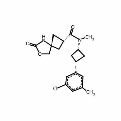 Cc1cc(Cl)cc([C@H]2C[C@@H](N(C)C(=O)[C@H]3C[C@]4(COC(=O)N4)C3)C2)c1